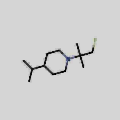 CC(C)C1CCN(C(C)(C)CF)CC1